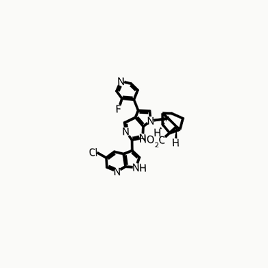 O=C(O)[C@H]1C2CCC(CC2)[C@@H]1n1cc(-c2ccncc2F)c2cnc(-c3c[nH]c4ncc(Cl)cc34)nc21